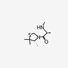 CN[C@@H](C)C(=O)N1CSC(C)(C)[C@H]1C